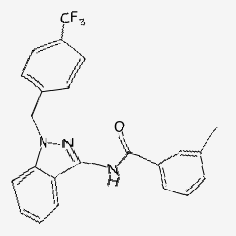 Cc1cccc(C(=O)Nc2nn(Cc3ccc(C(F)(F)F)cc3)c3ccccc23)c1